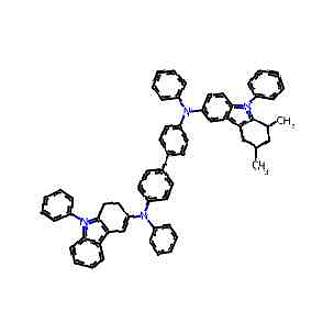 CC1Cc2c(n(-c3ccccc3)c3ccc(N(c4ccccc4)c4ccc(-c5ccc(N(C6=Cc7c(n(-c8ccccc8)c8ccccc78)CC6)c6ccccc6)cc5)cc4)cc23)C(C)C1